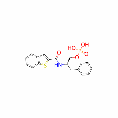 O=C(N[C@@H](COP(=O)(O)O)Cc1ccccc1)c1cc2ccccc2s1